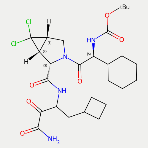 CC(C)(C)OC(=O)N[C@H](C(=O)N1C[C@@H]2[C@H]([C@H]1C(=O)NC(CC1CCC1)C(=O)C(N)=O)C2(Cl)Cl)C1CCCCC1